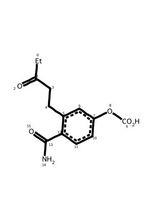 CCC(=O)CCc1cc(OC(=O)O)ccc1C(N)=O